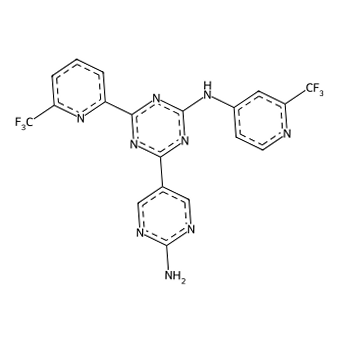 Nc1ncc(-c2nc(Nc3ccnc(C(F)(F)F)c3)nc(-c3cccc(C(F)(F)F)n3)n2)cn1